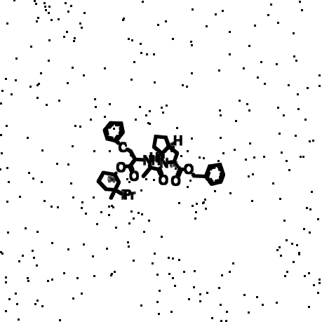 CC(NC(CCc1ccccc1)C(=O)O[C@H]1CCCC(C)(C(C)C)C1)C(=O)N1[C@H](C(=O)OCc2ccccc2)C[C@@H]2CCC[C@@H]21